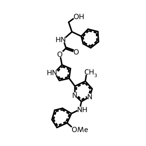 COc1ccccc1Nc1ncc(C)c(-c2c[nH]c(OC(=O)NC(CO)c3ccccc3)c2)n1